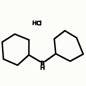 B(C1CCCCC1)C1CCCCC1.Cl